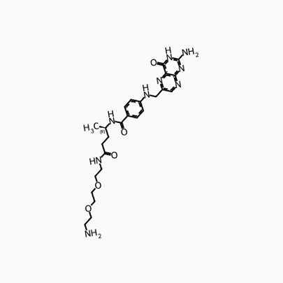 C[C@H](CCC(=O)NCCOCCOCCN)NC(=O)c1ccc(NCc2cnc3nc(N)[nH]c(=O)c3n2)cc1